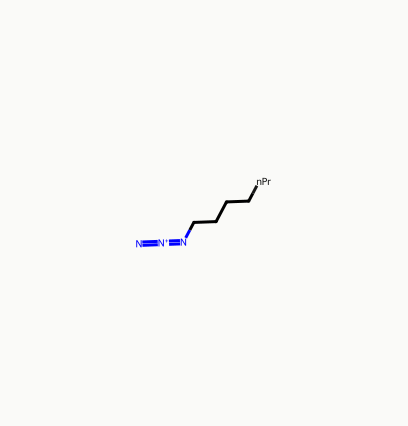 [CH2]CCCCCCN=[N+]=[N-]